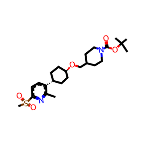 Cc1nc(S(C)(=O)=O)ccc1[C@H]1CC[C@H](OCC2CCN(C(=O)OC(C)(C)C)CC2)CC1